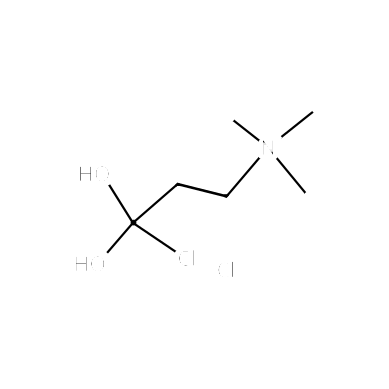 C[N+](C)(C)CCC(O)(O)Cl.[Cl-]